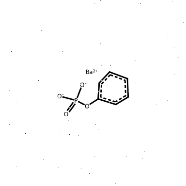 O=P([O-])([O-])Oc1ccccc1.[Ba+2]